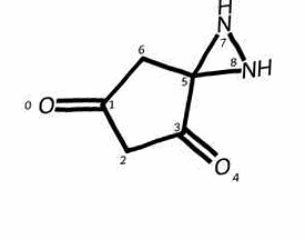 O=C1CC(=O)C2(C1)NN2